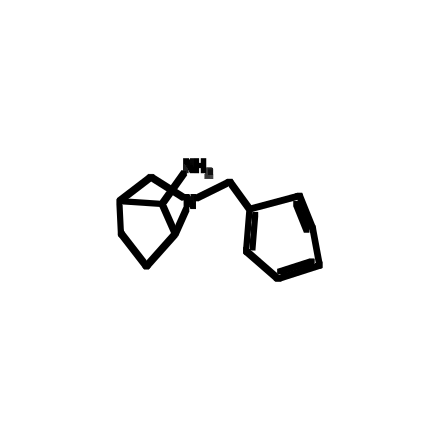 NC1C2CCC1N(Cc1ccccc1)C2